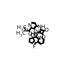 CN(C)C(=O)c1nccc(Nc2c(N[C@@H](c3ncccc3CF)C3(C)CCCC3)c(=O)c2=O)c1O